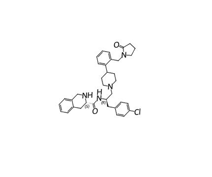 O=C(N[C@H](Cc1ccc(Cl)cc1)CN1CCC(c2ccccc2CN2CCCC2=O)CC1)[C@@H]1Cc2ccccc2CN1